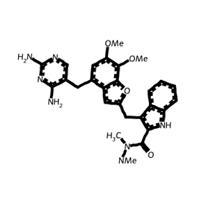 CNN(C)C(=O)c1[nH]c2ccccc2c1Cc1cc2c(Cc3cnc(N)nc3N)cc(OC)c(OC)c2o1